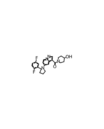 O=C(c1cnn2ccc(N3CCCC3c3cc(F)ccc3F)cc12)N1CCC(O)CC1